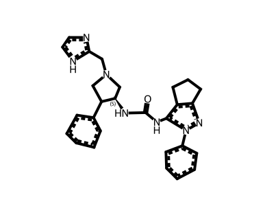 O=C(Nc1c2c(nn1-c1ccccc1)CCC2)N[C@@H]1CN(Cc2ncc[nH]2)CC1c1ccccc1